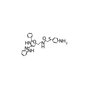 Nc1ccc(SCC(=O)NCCCC[C@H](NC(=O)c2ccccc2)c2nc3ccccc3[nH]2)cc1